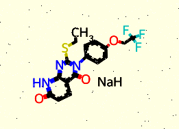 CCSc1nc2[nH]c(=O)ccc2c(=O)n1-c1ccc(OCC(F)(F)F)cc1.[NaH]